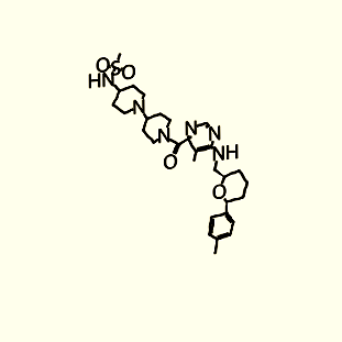 Cc1ccc([C@@H]2CCC[C@H](CNc3ncnc(C(=O)N4CCC(N5CCC(NS(C)(=O)=O)CC5)CC4)c3C)O2)cc1